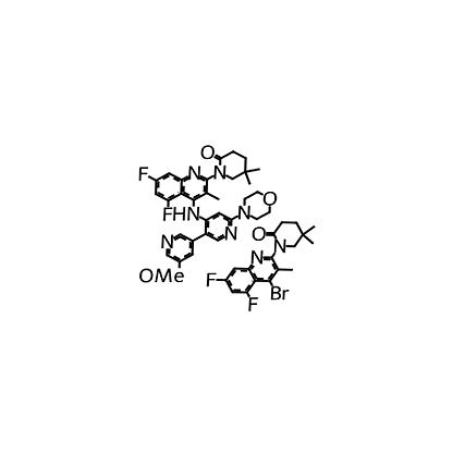 COc1cncc(-c2cnc(N3CCOCC3)cc2Nc2c(C)c(N3CC(C)(C)CCC3=O)nc3cc(F)cc(F)c23)c1.Cc1c(N2CC(C)(C)CCC2=O)nc2cc(F)cc(F)c2c1Br